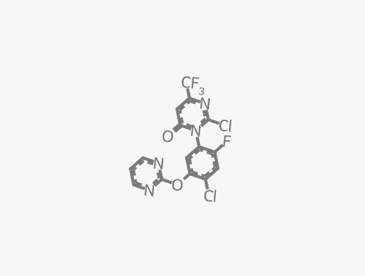 O=c1cc(C(F)(F)F)nc(Cl)n1-c1cc(Oc2ncccn2)c(Cl)cc1F